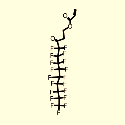 C=CC(=O)OCCC(=O)C(F)(F)C(F)(F)C(F)(F)C(F)(F)C(F)(F)C(F)(F)C(F)(F)C(F)(F)C(F)(F)F